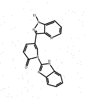 CCn1nc(-c2ccc(=O)n(-c3nc4ccccc4[nH]3)c2)c2ncccc21